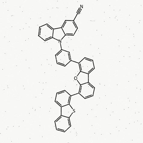 N#Cc1ccc2c(c1)c1ccccc1n2-c1cccc(-c2cccc3c2oc2c(-c4cccc5c4sc4ccccc45)cccc23)c1